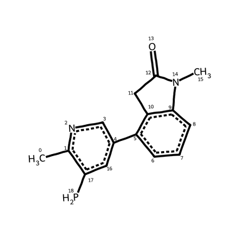 Cc1ncc(-c2cccc3c2CC(=O)N3C)cc1P